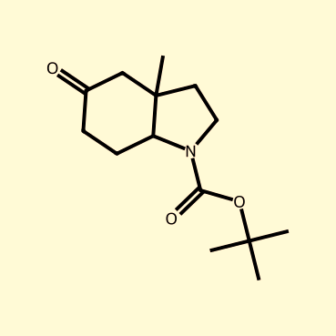 CC(C)(C)OC(=O)N1CCC2(C)CC(=O)CCC12